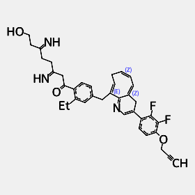 C#CCOc1ccc(C2=CN=C3/C(=C\C=C/C/C=C/3Cc3ccc(C(=O)CC(=N)CCC(=N)CCO)c(CC)c3)C2)c(F)c1F